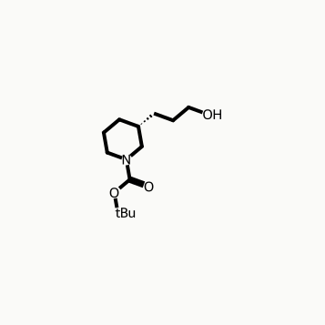 CC(C)(C)OC(=O)N1CCC[C@H](CCCO)C1